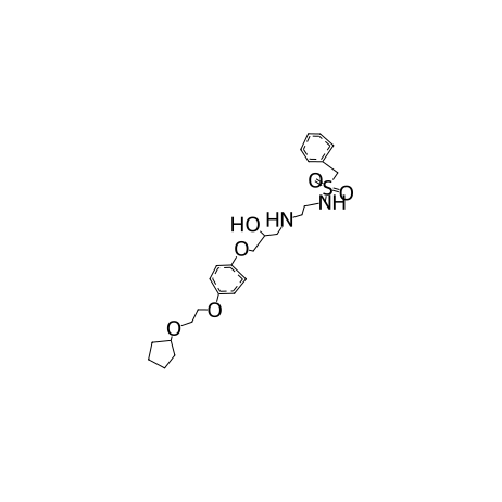 O=S(=O)(Cc1ccccc1)NCCNCC(O)COc1ccc(OCCOC2CCCC2)cc1